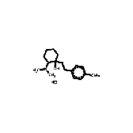 COc1ccc(CCC2(O)CCCCC2N(C)C)cc1.Cl